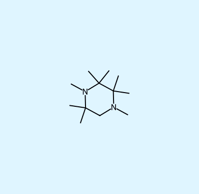 CN1CC(C)(C)N(C)C(C)(C)C1(C)C